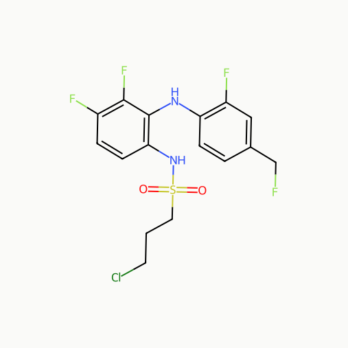 O=S(=O)(CCCCl)Nc1ccc(F)c(F)c1Nc1ccc(CF)cc1F